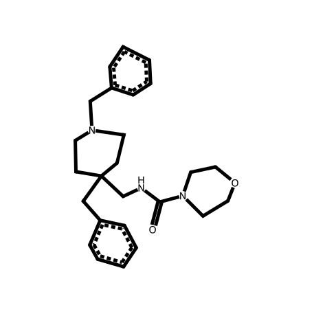 O=C(NCC1(Cc2ccccc2)CCN(Cc2ccccc2)CC1)N1CCOCC1